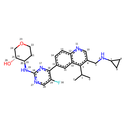 CC(C)c1c(CNC2CC2)cnc2ccc(-c3nc(N[C@@H]4CCOC[C@H]4O)ncc3F)cc12